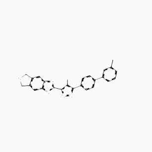 Cc1cccc(-c2ccc(-c3n[nH]c(-c4nc5cc6c(cc5[nH]4)CNC6)c3O)cc2)c1